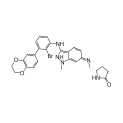 Cn1[nH]c(Nc2cccc(-c3ccc4c(c3)OCCO4)c2Br)c2ccc(=NC[C@@H]3CCC(=O)N3)cc1-2